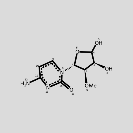 CO[C@@H]1[C@H](O)C(O)O[C@H]1n1ccc(N)nc1=O